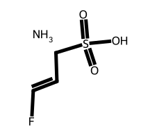 N.O=S(=O)(O)CC=CF